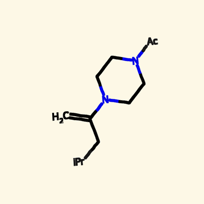 C=C(CC(C)C)N1CCN(C(C)=O)CC1